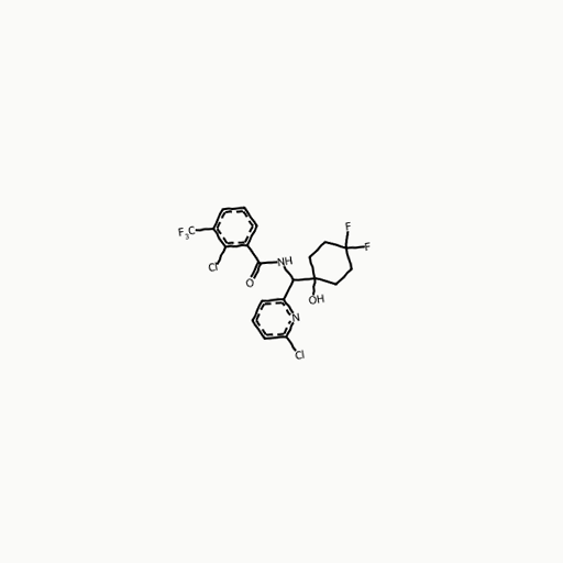 O=C(NC(c1cccc(Cl)n1)C1(O)CCC(F)(F)CC1)c1cccc(C(F)(F)F)c1Cl